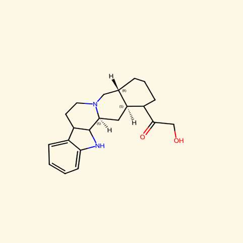 O=C(CO)C1CCC[C@H]2CN3CCC4c5ccccc5NC4[C@@H]3C[C@H]12